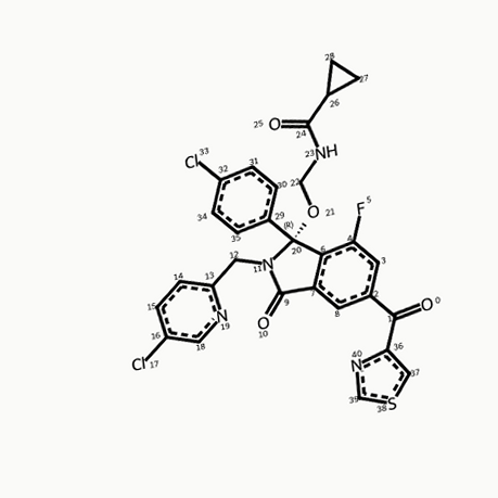 O=C(c1cc(F)c2c(c1)C(=O)N(Cc1ccc(Cl)cn1)[C@@]2(OCNC(=O)C1CC1)c1ccc(Cl)cc1)c1cscn1